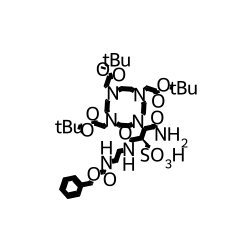 CC(C)(C)OC(=O)CN1CCN(CC(=O)OC(C)(C)C)CCN(C(C(N)=O)[C@@H](CS(=O)(=O)O)C(=O)NCCNC(=O)OCc2ccccc2)CCN(CC(=O)OC(C)(C)C)CC1